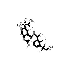 Cc1nc(NC(C)c2cccc(C(F)(F)CO)c2F)c2cc(P(C)(=O)C(C)C)ncc2n1